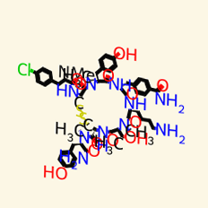 CN[C@@H](Cc1ccc(Cl)cc1)C(=O)N[C@@H]1CSSC[C@@H](C(=O)N(C)[C@H](Cc2ccc(O)cc2)C(N)=O)NC(=O)C(C(C)O)N(C)C(=O)[C@H](CCCCN)NC(=O)[C@@H](Cc2ccc(C(N)=O)cc2)NC(=O)[C@H](Cc2ccc(O)cc2)N(C)C1=O